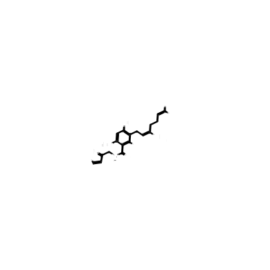 CCCCc1cc(O)c(CC=C(C)CCC=C(C)C)c(O)c1C(=O)N(C)Cc1ccon1